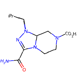 CC(C)CN1N=C(C(N)=O)N2CCN(C(=O)O)CC12